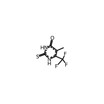 Cc1c(C(F)(F)F)[nH]c(=S)[nH]c1=O